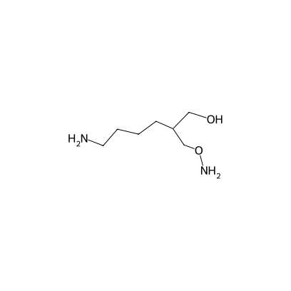 NCCCCC(CO)CON